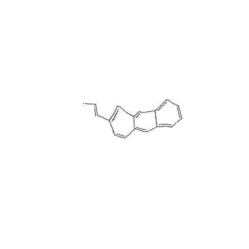 [CH2]C=Cc1ccc2cc3ccccc3cc2c1